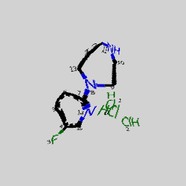 Cl.Cl.Cl.Fc1ccc(N2CCNCC2)nc1